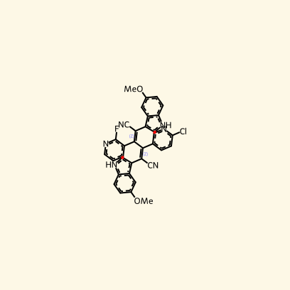 COc1ccc2[nH]cc(/C(C#N)=C(\C(=C(\C#N)c3c[nH]c4ccc(OC)cc34)c3cccnc3F)c3ccc(Cl)nc3)c2c1